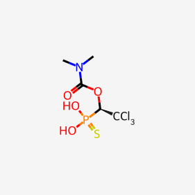 CN(C)C(=O)O[C@@H](C(Cl)(Cl)Cl)P(O)(O)=S